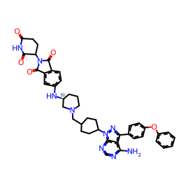 Nc1ncnc2c1c(-c1ccc(Oc3ccccc3)cc1)nn2C1CCC(CN2CCC[C@H](Nc3ccc4c(c3)C(=O)N(C3CCC(=O)NC3=O)C4=O)C2)CC1